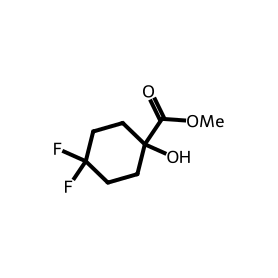 COC(=O)C1(O)CCC(F)(F)CC1